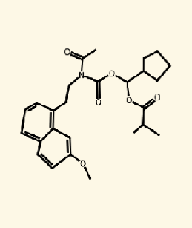 COc1ccc2cccc(CCN(C(C)=O)C(=O)OC(OC(=O)C(C)C)C3CCCC3)c2c1